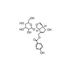 O=C(OCC1=C[C@@H](O)[C@@H]2C=CO[C@@H](O[C@@H]3OC(CO)[C@@H](O)C(O)C3O)[C@H]12)c1ccc(O)cc1